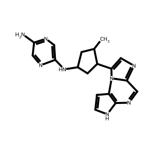 CC1CC(Nc2cnc(N)cn2)CC1c1cnc2cnc3[nH]ccc3n12